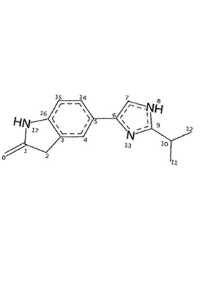 C=C1Cc2cc(-c3c[nH]c(C(C)C)n3)ccc2N1